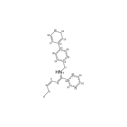 CC/C=C\C=C(/NCc1ccc(C2=CCCC=C2)cc1)c1ccccc1